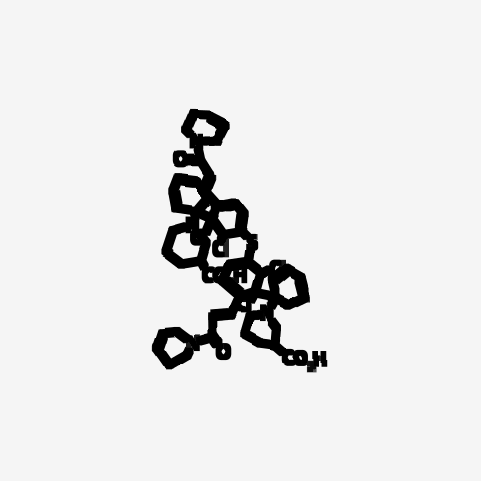 O=C(O)C1CCCN(C2(C3(Cl)C(C=CC(=O)N4CC=CCC4)=CC=C(SC4=CC=C(C=CC(=O)N5CC=CCC5)C(Cl)(C5(N6CCCC(C(=O)O)C6)C=CC=CC5)C4Cl)C3Cl)C=CC=CC2)C1